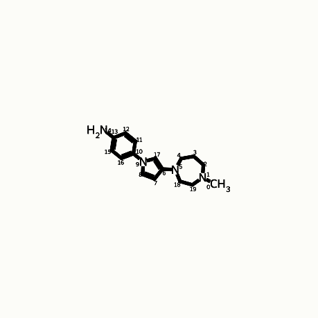 CN1CCCN(c2ccn(-c3ccc(N)cc3)c2)CC1